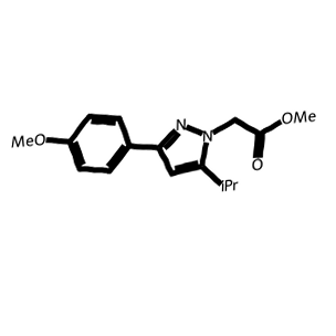 COC(=O)Cn1nc(-c2ccc(OC)cc2)cc1C(C)C